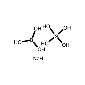 OB(O)O.O[Si](O)(O)O.[NaH]